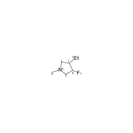 CCC1CN(C)CC1F